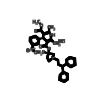 COC(=O)C1=C(C)NC(C)=C(C(=O)O[C@@]2(C)CCN(CCC(c3ccccc3)c3ccccc3)C2)[C@H]1c1cccc([N+](=O)[O-])c1.Cl